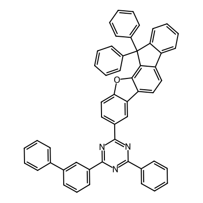 c1ccc(-c2cccc(-c3nc(-c4ccccc4)nc(-c4ccc5oc6c7c(ccc6c5c4)-c4ccccc4C7(c4ccccc4)c4ccccc4)n3)c2)cc1